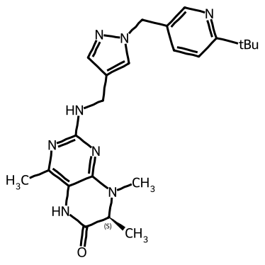 Cc1nc(NCc2cnn(Cc3ccc(C(C)(C)C)nc3)c2)nc2c1NC(=O)[C@H](C)N2C